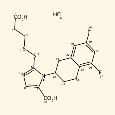 Cl.O=C(O)CCSSc1ncc(C(=O)O)n1C1CCc2c(F)cc(F)cc2C1